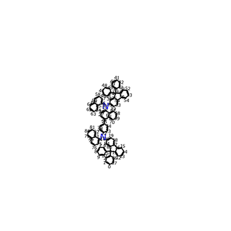 c1ccc(C2(c3ccccc3)c3ccccc3-c3ccc(N(c4ccc(-c5ccc(N(c6ccc7c(c6)C(c6ccccc6)(c6ccccc6)c6ccccc6-7)c6cccc7ccccc67)c6ccccc56)cc4)c4cccc5ccccc45)cc32)cc1